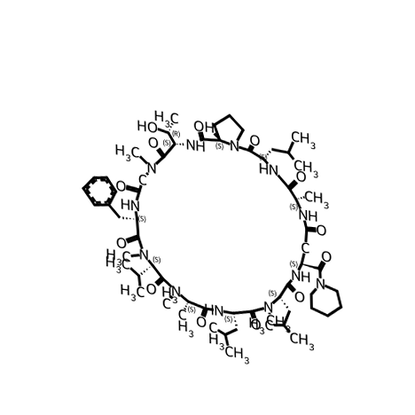 CC(C)C[C@@H]1NC(=O)[C@H](C)N(C)C(=O)[C@H](C(C)C)N(C)C(=O)[C@H](Cc2ccccc2)NC(=O)CN(C)C(=O)[C@H]([C@@H](C)O)NC(=O)[C@@H]2CCCN2C(=O)[C@H](CC(C)C)NC(=O)[C@H](C)NC(=O)C[C@@H](C(=O)N2CCCCC2)NC(=O)[C@H](CC(C)C)N(C)C1=O